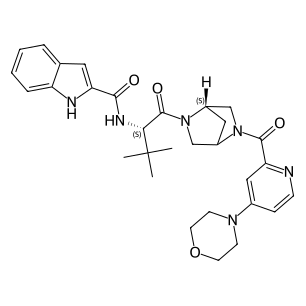 CC(C)(C)[C@H](NC(=O)c1cc2ccccc2[nH]1)C(=O)N1CC2C[C@H]1CN2C(=O)c1cc(N2CCOCC2)ccn1